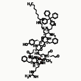 CCCCCCCC(=O)NCCCC[C@H](C(=O)N[C@@H](Cc1ccccc1)C(=O)N[C@@H](Cc1ccc(O)cc1)C(=O)N[C@@H](CCC(N)=O)C(=O)N[C@@H](CC(N)=O)CN([C@H](C=O)CCC=O)[C@@H](C)C(=O)N[C@@H](CCCNC(=N)N)C(=O)N[C@@H](Cc1ccccc1)C(N)=O)C(N)[C@@H](N)Cc1cn(C(c2ccccc2)(c2ccccc2)c2ccccc2)cn1